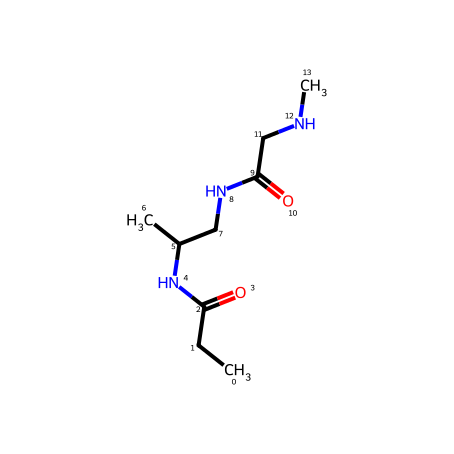 CCC(=O)NC(C)CNC(=O)CNC